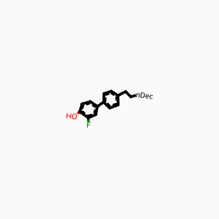 CCCCCCCCCCCCc1ccc(-c2ccc(O)c(F)c2)cc1